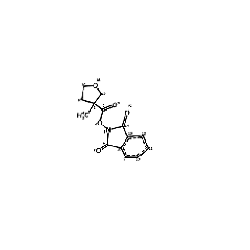 CC1(C(=O)ON2C(=O)c3ccccc3C2=O)CCOC1